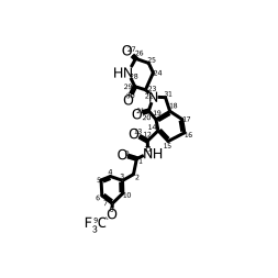 O=C(Cc1cccc(OC(F)(F)F)c1)NC(=O)c1cccc2c1C(=O)N(C1CCC(=O)NC1=O)C2